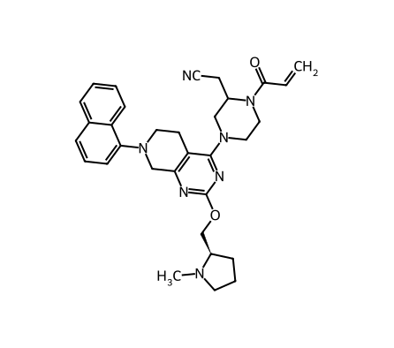 C=CC(=O)N1CCN(c2nc(OC[C@H]3CCCN3C)nc3c2CCN(c2cccc4ccccc24)C3)CC1CC#N